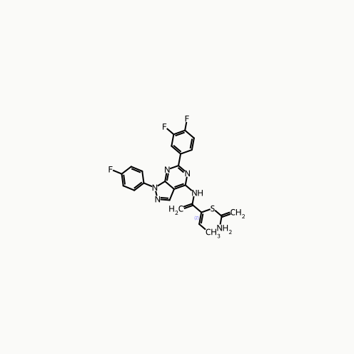 C=C(N)S/C(=C\C)C(=C)Nc1nc(-c2ccc(F)c(F)c2)nc2c1cnn2-c1ccc(F)cc1